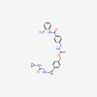 Nc1ccccc1NC(=O)c1ccc(CNC(=O)OCc2ccc(C3CC3NCC(=O)NC3CC3)cc2)cc1